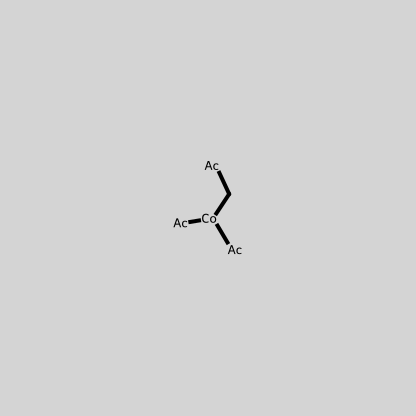 CC(=O)[CH2][Co]([C](C)=O)[C](C)=O